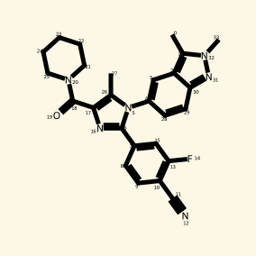 Cc1c2cc(-n3c(-c4ccc(C#N)c(F)c4)nc(C(=O)N4CCCCC4)c3C)ccc2nn1C